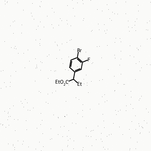 CCOC(=O)C(CC)c1ccc(Br)c(F)c1